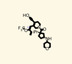 C=C/C(=C\C1=C(C#CO)CCN(C(=O)[C@@]2(C(C)C)CC[C@@H](NC3CCOCC3)C2)C1)OC(F)(F)F